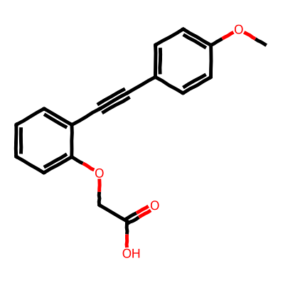 COc1ccc(C#Cc2ccccc2OCC(=O)O)cc1